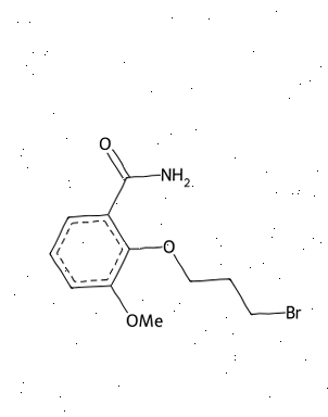 COc1cccc(C(N)=O)c1OCCCBr